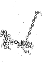 CC[C@@]1(O)C(=O)OCc2c1cc1n(c2=O)Cc2c-1nc1cc(F)c(C)c3c1c2[C@@H](NC(=O)Oc1ccc(NC(=O)[C@H](CCCCN)NC(=O)C(NC(=O)CCOCCOCCOCCOCCOCCOCCN)C(C)C)cc1)CC3